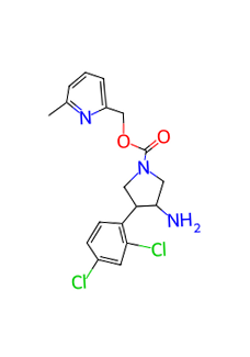 Cc1cccc(COC(=O)N2CC(N)C(c3ccc(Cl)cc3Cl)C2)n1